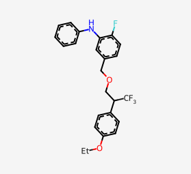 CCOc1ccc(C(COCc2ccc(F)c(Nc3ccccc3)c2)C(F)(F)F)cc1